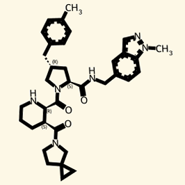 Cc1ccc(C[C@@H]2C[C@@H](C(=O)NCc3ccc4c(cnn4C)c3)N(C(=O)[C@@H]3NCCC[C@@H]3C(=O)N3CCC4(CC4)C3)C2)cc1